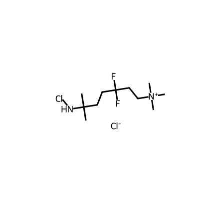 CC(C)(CCC(F)(F)CC[N+](C)(C)C)NCl.[Cl-]